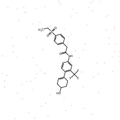 CCS(=O)(=O)c1ccc(CC(=O)Nc2ccc(C3=CCC(O)CC3)c(C(F)(F)F)c2)cc1